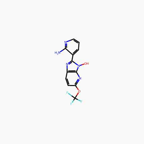 Nc1ncccc1-c1nc2ccc(OC(F)(F)F)nc2n1O